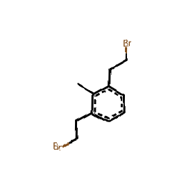 Cc1c(CCBr)cccc1CCBr